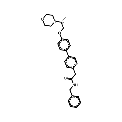 C[C@H](COc1ccc(-c2ccc(CC(=O)NCc3ccccc3)nc2)cc1)N1CCOCC1